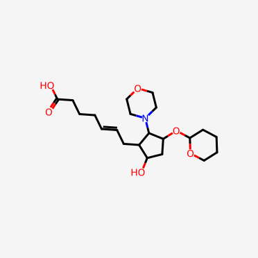 O=C(O)CCC/C=C/CC1C(O)CC(OC2CCCCO2)C1N1CCOCC1